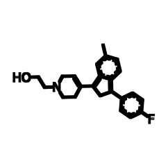 Cc1ccc2c(c1)=C(C1=CCN(CCO)CC1)CC=2c1ccc(F)cc1